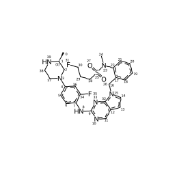 C[C@H]1CN(c2ccc(Nc3ncc4ccn(Cc5ccccc5N(C)S(=O)(=O)CCCF)c4n3)c(F)c2)CCN1